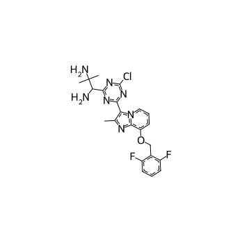 Cc1nc2c(OCc3c(F)cccc3F)cccn2c1-c1nc(Cl)nc(C(N)C(C)(C)N)n1